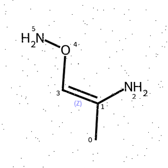 C/C(N)=C/ON